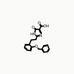 O=C(O)c1cnc(CCc2ccccc2OCc2ccccc2)[nH]c1=O